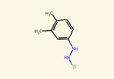 Cc1ccc(NNCl)cc1C